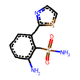 Nc1cccc(-c2nccs2)c1S(N)(=O)=O